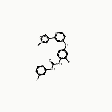 Cn1cc(-c2cc(Oc3ccc(NC(=O)Nc4cccc(F)c4)c(F)c3)ccn2)cn1